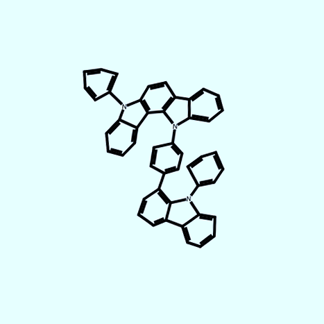 c1ccc(-n2c3ccccc3c3c2ccc2c4ccccc4n(-c4ccc(-c5cccc6c7ccccc7n(-c7ccccc7)c56)cc4)c23)cc1